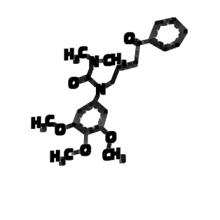 COc1cc(N(CC=CC(=O)c2ccccc2)C(=O)N(C)C)cc(OC)c1OC